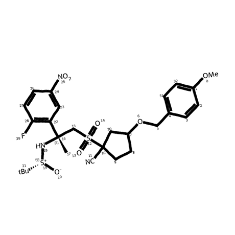 COc1ccc(COC2CCC(C#N)(S(=O)(=O)C[C@](C)(N[S@+]([O-])C(C)(C)C)c3cc([N+](=O)[O-])ccc3F)C2)cc1